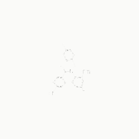 Cc1ccc(CN(C(=O)c2ccc(Cl)cc2)c2ccc(F)[c]c2F)cc1.[Ti]